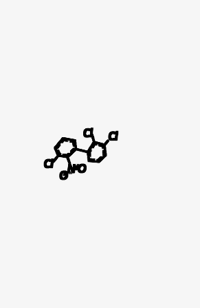 O=[N+]([O-])c1c(Cl)cccc1-c1cccc(Cl)c1Cl